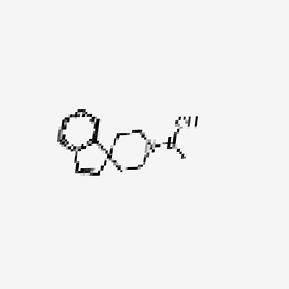 CB(O)N1CCC2(C=Cc3ccccc32)CC1